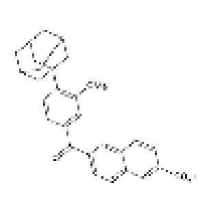 COc1cc(C(=O)c2ccc3cc(C(=O)O)ccc3c2)ccc1C12CC3CC(CC(C3)C1)C2